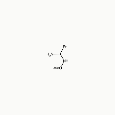 CCC(N)NOC